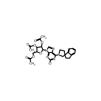 CC(=O)OCC1OC(n2cnc3c(N4CCC5(CCc6ccccc65)C4)nc(Cl)nc32)C(OC(C)=O)C1OC(C)=O